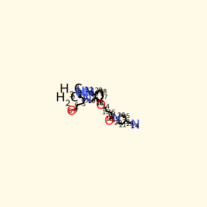 C=C(NC)C(CCC=O)N1Cc2c(OCCCC(=O)N3CCC(C#N)CC3)cccc2C1=N